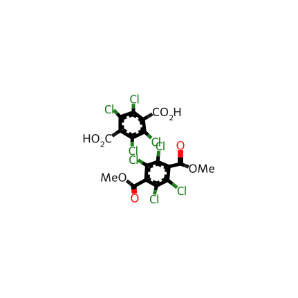 COC(=O)c1c(Cl)c(Cl)c(C(=O)OC)c(Cl)c1Cl.O=C(O)c1c(Cl)c(Cl)c(C(=O)O)c(Cl)c1Cl